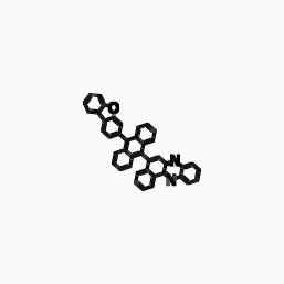 c1ccc2nc3c(cc(-c4c5ccccc5c(-c5ccc6c(c5)oc5ccccc56)c5ccccc45)c4ccccc43)nc2c1